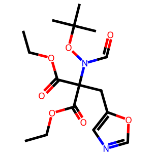 CCOC(=O)C(Cc1cnco1)(C(=O)OCC)N(C=O)OC(C)(C)C